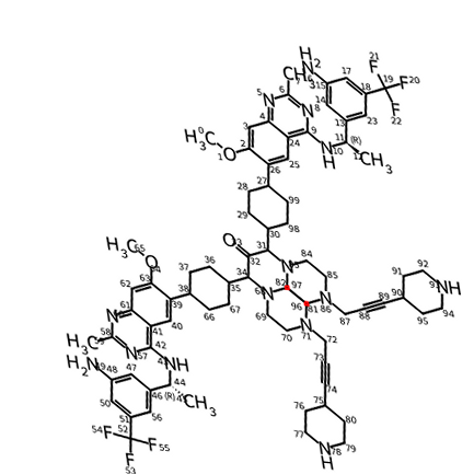 COc1cc2nc(C)nc(N[C@H](C)c3cc(N)cc(C(F)(F)F)c3)c2cc1C1CCC(C(C(=O)C(C2CCC(c3cc4c(N[C@H](C)c5cc(N)cc(C(F)(F)F)c5)nc(C)nc4cc3OC)CC2)N2CCN(CC#CC3CCNCC3)CC2)N2CCN(CC#CC3CCNCC3)CC2)CC1